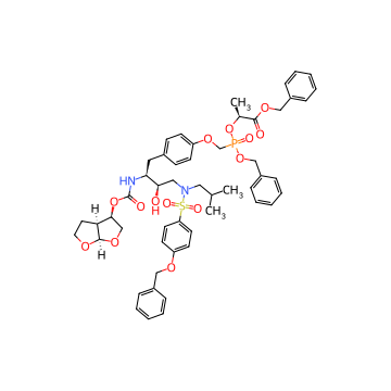 CC(C)CN(C[C@@H](O)[C@H](Cc1ccc(OCP(=O)(OCc2ccccc2)O[C@@H](C)C(=O)OCc2ccccc2)cc1)NC(=O)O[C@H]1CO[C@H]2OCC[C@H]21)S(=O)(=O)c1ccc(OCc2ccccc2)cc1